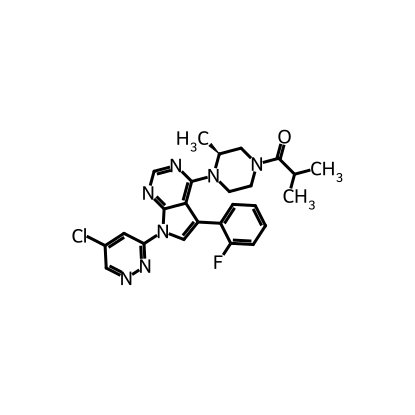 CC(C)C(=O)N1CCN(c2ncnc3c2c(-c2ccccc2F)cn3-c2cc(Cl)cnn2)[C@@H](C)C1